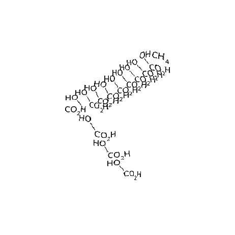 C.O=C(O)O.O=C(O)O.O=C(O)O.O=C(O)O.O=C(O)O.O=C(O)O.O=C(O)O.O=C(O)O.O=C(O)O.O=C(O)O.O=C(O)O.O=C(O)O